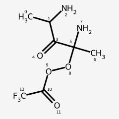 CC(N)C(=O)C(C)(N)OOC(=O)C(F)(F)F